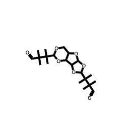 CC(C)(C=O)C(C)(C)C1OCC2OC3OC(C(C)(C)C(C)(C)C=O)OC3C2O1